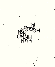 CC(C)C(=O)Nc1nc2c(ncn2[C@H]2CC[C@@H](CO[PH](O)=S)O2)c(=O)[nH]1